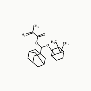 C=C(C)C(=O)OC(OC1C2CCC(CC2)C1(C)C)C12CC3CC(CC(C3)C1)C2